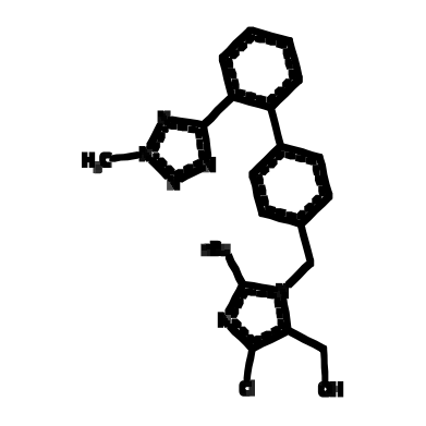 CCCCc1nc(Cl)c(CO)n1Cc1ccc(-c2ccccc2-c2nnn(C)n2)cc1